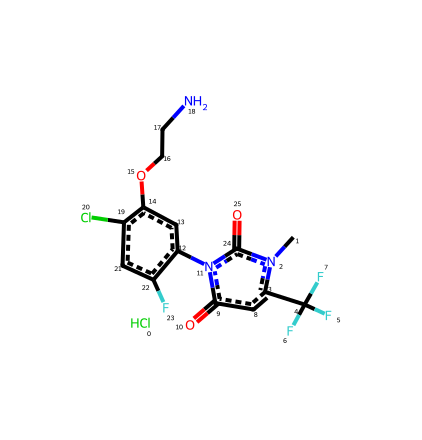 Cl.Cn1c(C(F)(F)F)cc(=O)n(-c2cc(OCCN)c(Cl)cc2F)c1=O